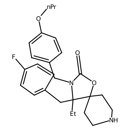 CCCOc1ccc(CN2C(=O)OC3(CCNCC3)C2(CC)Cc2ccc(F)cc2)cc1